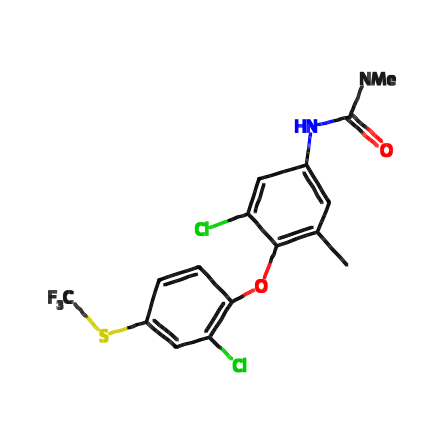 CNC(=O)Nc1cc(C)c(Oc2ccc(SC(F)(F)F)cc2Cl)c(Cl)c1